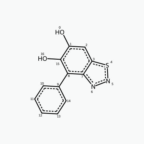 Oc1cc2snnc2c(-c2ccccc2)c1O